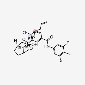 C=CCO/N=C/[C@]1(O)CC2CC[C@@H](C1)C2S(=O)(=O)c1cc(C(=O)Nc2cc(F)c(F)c(F)c2)ccc1Cl